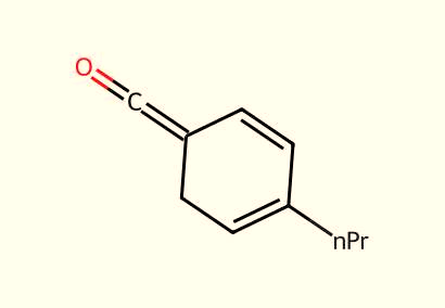 CCCC1=CCC(=C=O)C=C1